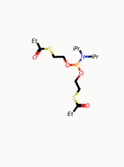 CCC(=O)SCCOP(OCCSC(=O)CC)N(C(C)C)C(C)C